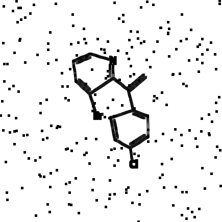 C=C(c1ccc(Cl)cc1)c1ncccc1Br